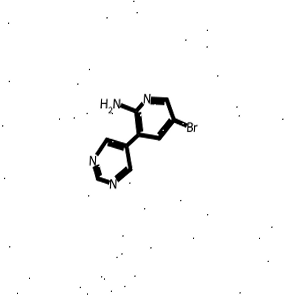 Nc1ncc(Br)cc1-c1cncnc1